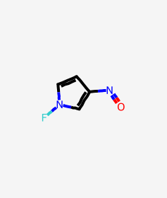 O=Nc1ccn(F)c1